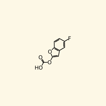 O=C(O)Oc1cc2cc(F)ccc2o1